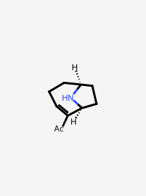 CC(=O)C1=CCC[C@H]2CC[C@@H]1N2